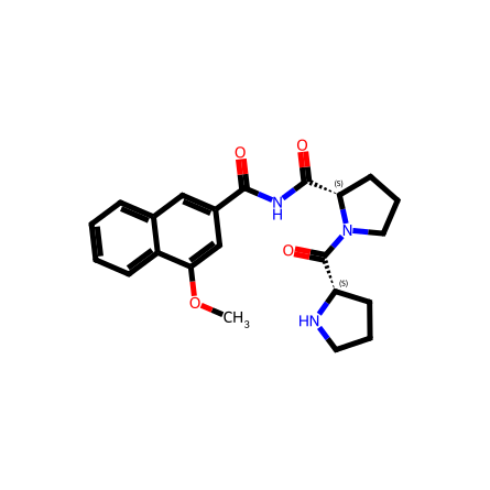 COc1cc(C(=O)NC(=O)[C@@H]2CCCN2C(=O)[C@@H]2CCCN2)cc2ccccc12